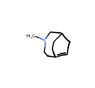 CN1CC2=CCC(CC2)C1